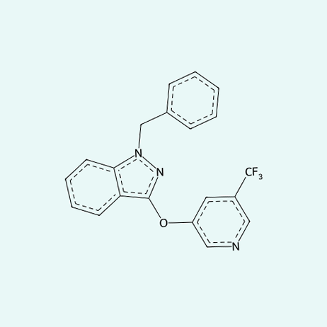 FC(F)(F)c1cncc(Oc2nn(Cc3ccccc3)c3ccccc23)c1